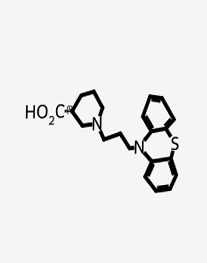 O=C(O)[C@@H]1CCCN(CCCN2c3ccccc3Sc3ccccc32)C1